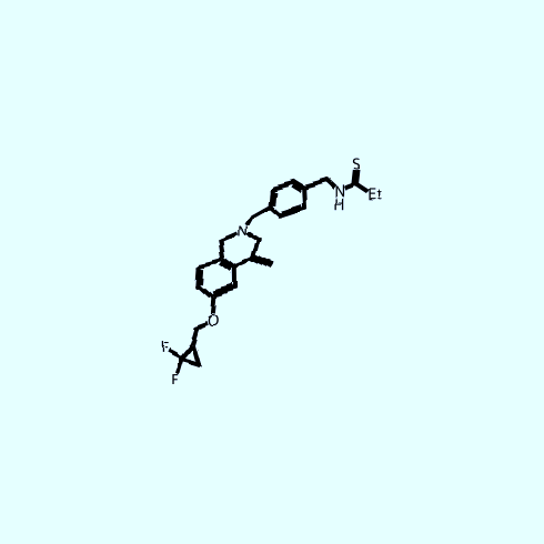 C=C1CN(Cc2ccc(CNC(=S)CC)cc2)Cc2ccc(OCC3CC3(F)F)cc21